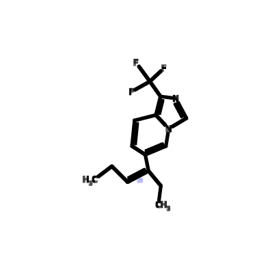 CC/C=C(/CC)c1ccc2c(C(F)(F)F)ncn2c1